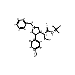 CCN(C(=O)OC(C)(C)C)C1CN(Cc2ccccc2)CC1c1ccc(Cl)cc1